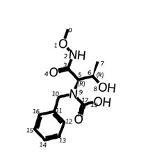 CONC(=O)[C@@H]([C@@H](C)O)N(Cc1ccccc1)C(=O)O